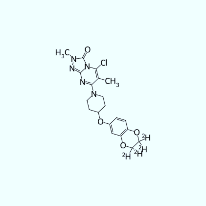 [2H]C1([2H])Oc2ccc(OC3CCN(c4nc5nn(C)c(=O)n5c(Cl)c4C)CC3)cc2OC1([2H])[2H]